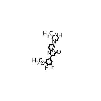 COc1cc(-c2cc(=O)n3cc(N4CCN[C@@H](C)C4)ccc3n2)cc(F)c1F